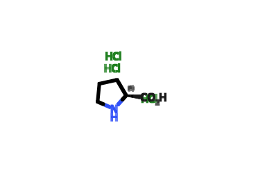 Cl.Cl.Cl.O=C(O)[C@@H]1CCCN1